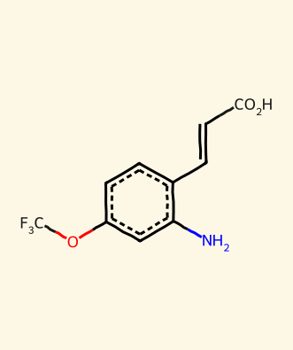 Nc1cc(OC(F)(F)F)ccc1/C=C/C(=O)O